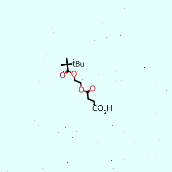 CC(C)(C)C(C)(C)C(=O)OCCOC(=O)CCC(=O)O